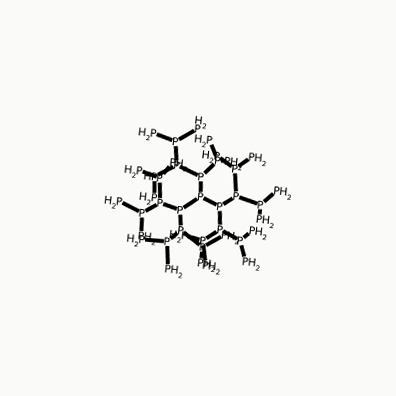 PPP(P(P)P)P(P(P)P)P(P(P(P(P)P)P(P)P)P(P(P)P)P(P)P)P(P(P(P)P)P(P)P)P(P(P)P)P(P)P